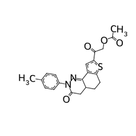 CC(=O)OCC(=O)c1cc2c(s1)CCC1CC(=O)N(c3ccc(C)cc3)N=C21